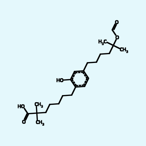 CC(C)(CCCCc1ccc(CCCCCC(C)(C)C(=O)O)c(O)c1)OC=O